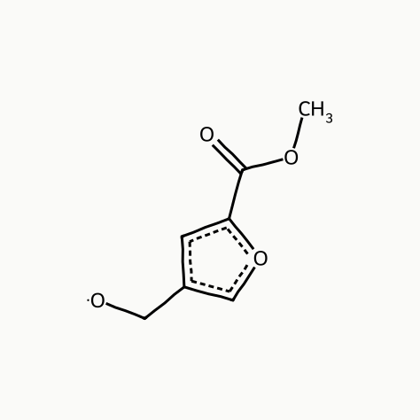 COC(=O)c1cc(C[O])co1